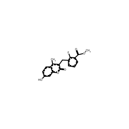 COC(=O)c1cccc(Cc2c(C)c3ccc(O)cc3oc2=O)c1F